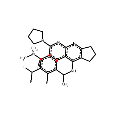 CC(Nc1c2c(nc3nc(N4CCCC4)c(C(=O)N(C)C)cc13)CCC2)c1cccc(C(F)F)c1F